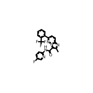 Cc1nc2ccc(-c3ccccc3C(F)(F)F)nn2c1C(=O)Nc1ccc(F)cn1